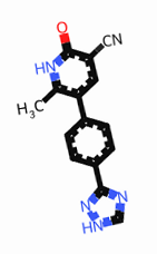 Cc1[nH]c(=O)c(C#N)cc1-c1ccc(-c2nc[nH]n2)cc1